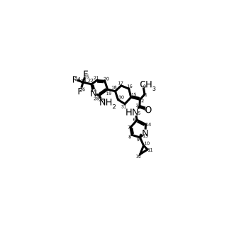 CCC(C(=O)Nc1ccc(C2CC2)nc1)=C1CCC(c2ccc(C(F)(F)F)nc2N)CC1